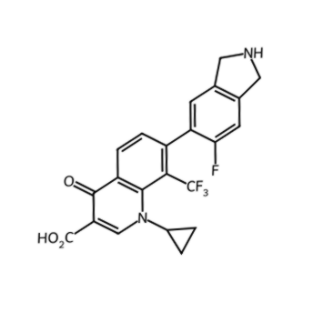 O=C(O)c1cn(C2CC2)c2c(C(F)(F)F)c(-c3cc4c(cc3F)CNC4)ccc2c1=O